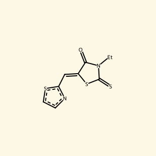 CCN1C(=O)C(=Cc2nccs2)SC1=S